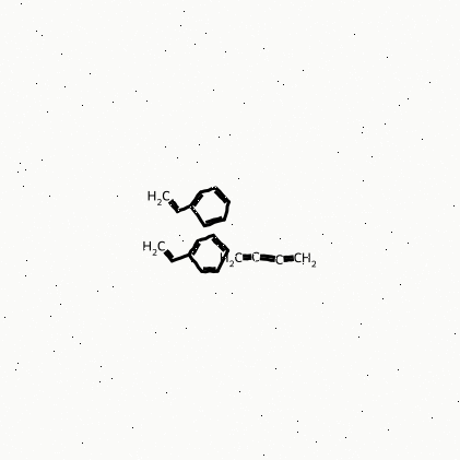 C=C=C=C.C=Cc1ccccc1.C=Cc1ccccc1